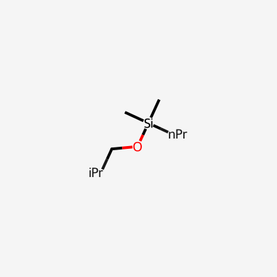 CCC[Si](C)(C)OCC(C)C